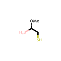 BC(CS)OC